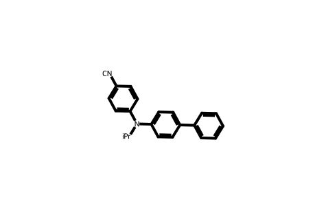 [C-]#[N+]c1ccc(N(c2ccc(-c3ccccc3)cc2)C(C)C)cc1